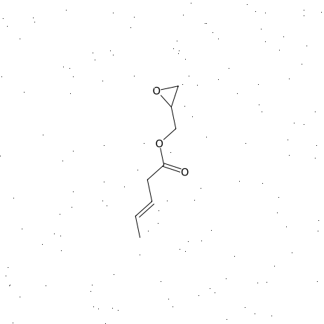 CC=CCC(=O)OCC1CO1